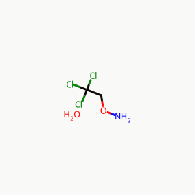 NOCC(Cl)(Cl)Cl.O